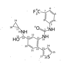 O=C(Nc1cccc(C(F)(F)F)c1)Nc1cc(C(O)NC2CC2)ccc1-c1ccsc1